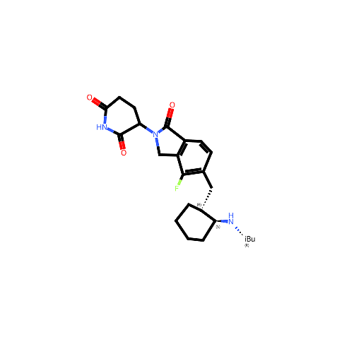 CC[C@@H](C)N[C@H]1CCCC[C@@H]1Cc1ccc2c(c1F)CN(C1CCC(=O)NC1=O)C2=O